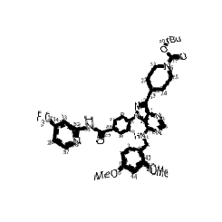 COc1ccc(CNc2ncnc3c(C4CCN(C(=O)OC(C)(C)C)CC4)nn(-c4ccc(C(=O)Nc5cc(C(F)(F)F)ccn5)cc4)c23)c(OC)c1